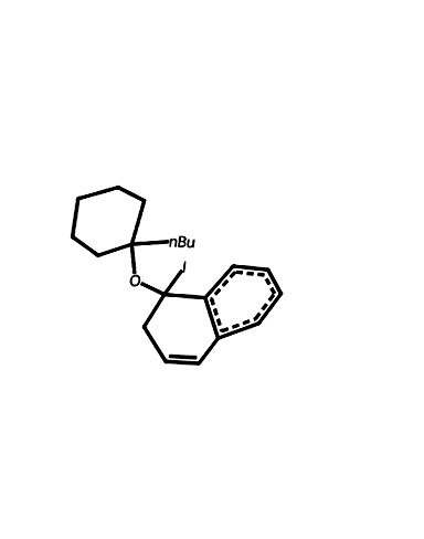 CCCCC1(OC2(I)CC=Cc3ccccc32)CCCCC1